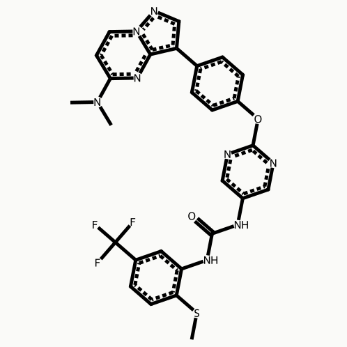 CSc1ccc(C(F)(F)F)cc1NC(=O)Nc1cnc(Oc2ccc(-c3cnn4ccc(N(C)C)nc34)cc2)nc1